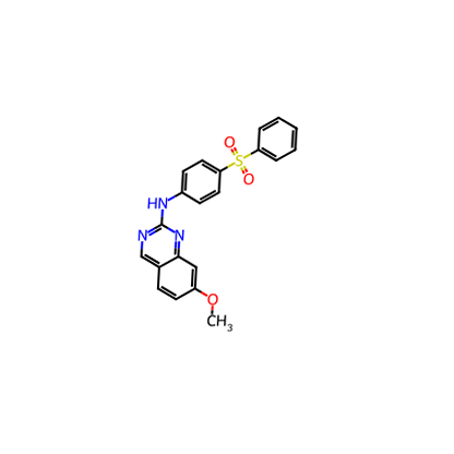 COc1ccc2cnc(Nc3ccc(S(=O)(=O)c4ccccc4)cc3)nc2c1